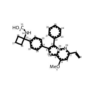 C=Cc1cc(OC)c2nc(-c3ccc(C4(NC(=O)O)CCC4)cc3)c(-c3ccccc3)n2n1